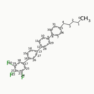 CCCCCc1ccc(-c2ccc(-c3ccc(-c4cc(F)c(F)c(F)c4)cc3)cc2)cc1